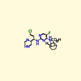 C\C=N/C(C=N)=C(\C=C\Cl)Nc1ncc(F)c(N[C@H]2C3CCC(CC3)[C@@H]2C(=O)O)n1